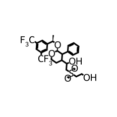 C[C@@H](O[C@@H]1OCCC(C(O)CS(=O)(=O)CCO)C1c1ccccc1)c1cc(C(F)(F)F)cc(C(F)(F)F)c1